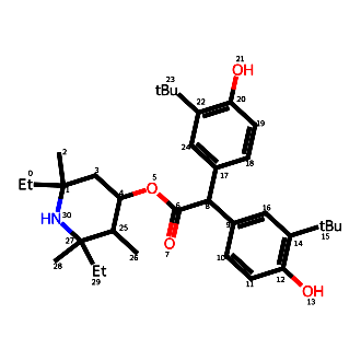 CCC1(C)CC(OC(=O)C(c2ccc(O)c(C(C)(C)C)c2)c2ccc(O)c(C(C)(C)C)c2)C(C)C(C)(CC)N1